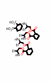 CCCCC(CC)COC(=O)c1ccccc1C(=O)OCC(CC)CCCC.CCCCC(CC)COC(=O)c1ccccc1C(=O)OCC(CC)CCCC.O=C(O)c1ccccc1C(=O)O